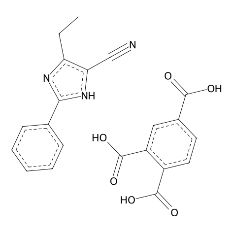 CCc1nc(-c2ccccc2)[nH]c1C#N.O=C(O)c1ccc(C(=O)O)c(C(=O)O)c1